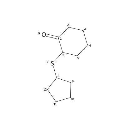 O=C1CCCCC1SC1CCCC1